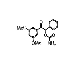 COc1cc(OC)cc(C(=O)C(OC(N)=O)c2ccccc2)c1